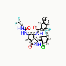 O=C(NCC(F)F)Nc1cc(NC(=O)c2cc(F)cc(C(F)(F)F)c2)c2c(c1)C(=O)NC2c1cc(F)ccc1Cl